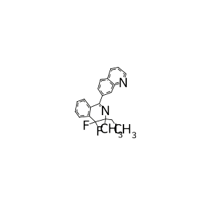 CCC1(C)N=C(c2ccc3cccnc3c2)c2ccccc2C1(F)F